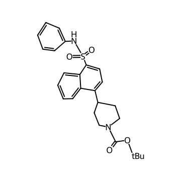 CC(C)(C)OC(=O)N1CCC(c2ccc(S(=O)(=O)Nc3ccccc3)c3ccccc23)CC1